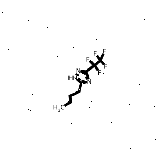 CCCCc1nc(C(F)(F)C(F)(F)F)n[nH]1